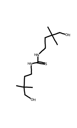 CC(C)(CO)CCNC(=S)NCCC(C)(C)CO